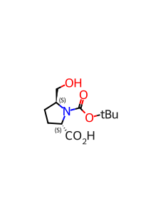 CC(C)(C)OC(=O)N1[C@H](CO)CC[C@H]1C(=O)O